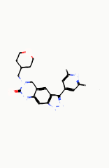 Cc1cc(-c2n[nH]c3cc4c(cc23)CN(CC2CCOCC2)C(=O)N4)cc(C)n1